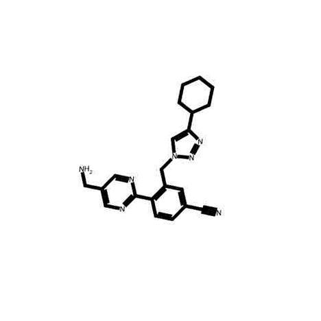 N#Cc1ccc(-c2ncc(CN)cn2)c(Cn2cc(C3CCCCC3)nn2)c1